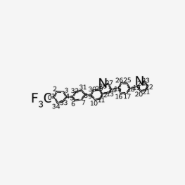 FC(F)(F)c1ccc(-c2ccc(-c3ccc4cc(-c5ccc(-c6ccccn6)cc5)cnc4c3)cc2)cc1